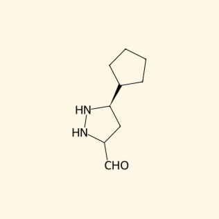 O=CC1C[C@H](C2CCCC2)NN1